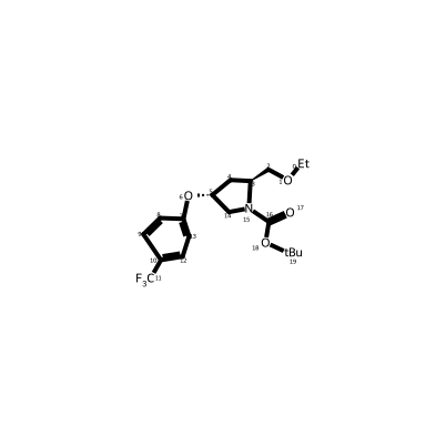 CCOC[C@@H]1C[C@@H](Oc2ccc(C(F)(F)F)cc2)CN1C(=O)OC(C)(C)C